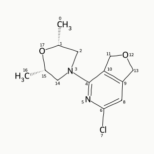 C[C@@H]1CN(c2nc(Cl)cc3c2COC3)C[C@H](C)O1